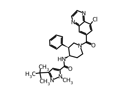 Cn1nc(C(C)(C)C)cc1C(=O)N[C@@H]1CCN(C(=O)c2cc(Cl)c3nccnc3c2)C[C@@H]1c1ccccc1